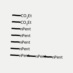 CCCCCC.CCCCCC.CCCCCC.CCCCCC.CCCCCC.CCCCCC.CCCCCC.CCOC(C)=O.CCOC(C)=O